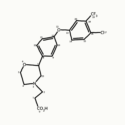 O=C(O)CCN1CCOC(c2ccc(Oc3ccc(Cl)c(C(F)(F)F)c3)cc2)C1